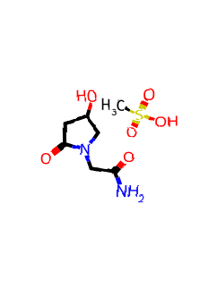 CS(=O)(=O)O.NC(=O)CN1CC(O)CC1=O